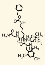 Cc1cc(O)cc(C)c1CC(NC(=O)OC(C)(C)C)C(=O)NC(CCCCNC(=O)OCc1ccccc1)C(=O)NCC(N)=O